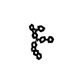 c1ccc(-c2ccc(N(c3ccc4sc5cc6ccccc6cc5c4c3)c3ccc4c5ccccc5n(-c5ccccc5)c4c3)cc2)cc1